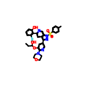 CCC(O)Oc1cc(-c2nn(S(=O)(=O)c3ccc(C)cc3)c3cnc(-c4c(O)cccc4F)cc23)cnc1N1CCOCC1